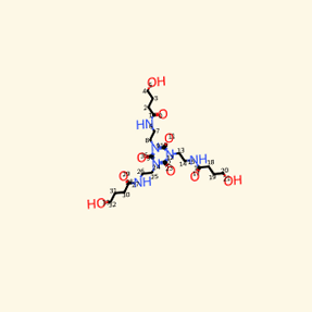 O=C(CCCO)NCCn1c(=O)n(CCNC(=O)CCCO)c(=O)n(CCNC(=O)CCCO)c1=O